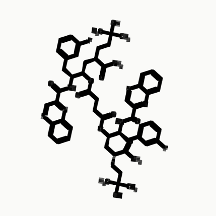 CC(C)(O)CC[C@H](C[C@@H](OC(=O)CCC(=O)O[C@H](C[C@@H](CCC(C)(C)O)C(N)=O)[C@H](Cc1cccc(F)c1)NC(=O)c1cnc2ccccc2n1)[C@H](Cc1cccc(F)c1)NC(=O)c1cnc2ccccc2n1)C(N)=O